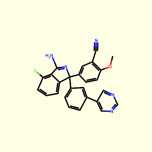 COc1ccc(C2(c3cccc(-c4cncnc4)c3)N=C(N)c3c(F)cccc32)cc1C#N